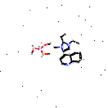 CCC1N(C)C=CN1CC.COP(OC)OC.c1ccc2ncccc2c1